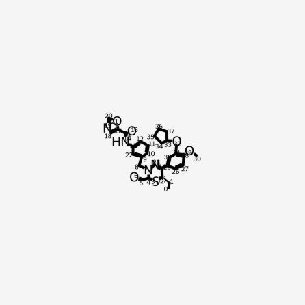 CC[C@H]1SC(C=O)N(Cc2cccc(NC(=O)c3cnco3)c2)N=C1c1ccc(OC)c(OC2CCCC2)c1